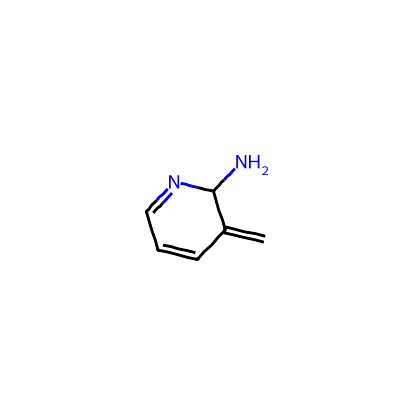 C=C1C=CC=NC1N